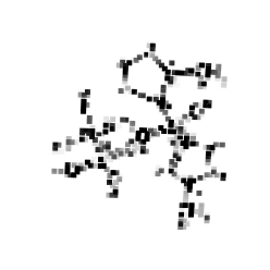 C[C@@H]1CCCN1S(=O)(=O)[n+]1ccn(C)c1.O=S(=O)([O-])C(F)(F)F